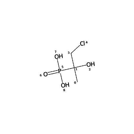 CC(O)(CCl)P(=O)(O)O